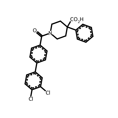 O=C(c1ccc(-c2ccc(Cl)c(Cl)c2)cc1)N1CCC(C(=O)O)(c2ccccc2)CC1